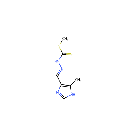 CSC(=S)NN=Cc1nc[nH]c1C